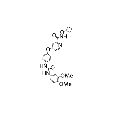 COc1ccc(NC(=O)Nc2ccc(Oc3ccnc(C(=O)NOC4CCC4)c3)cc2)cc1OC